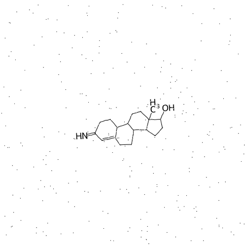 CC12CCC3C4CCC(=N)C=C4CCC3C1CCC2O